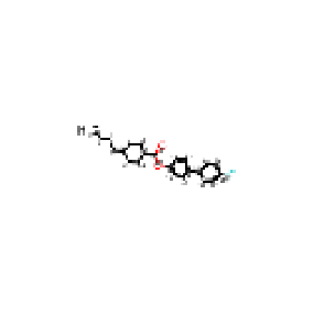 CCCCC1CCC(C(=O)Oc2ccc(-c3ccc(F)cc3)cc2)CC1